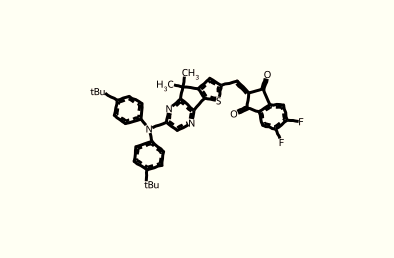 CC(C)(C)c1ccc(N(c2ccc(C(C)(C)C)cc2)c2cnc3c(n2)C(C)(C)c2cc(C=C4C(=O)c5cc(F)c(F)cc5C4=O)sc2-3)cc1